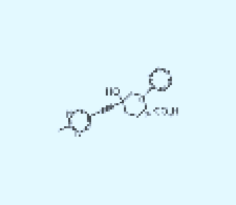 Cc1ncc(C#CC2(O)CC[C@@H](C(=O)O)[C@H](c3ccccc3)C2)cn1